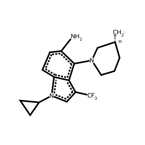 [CH2][C@@H]1CCCN(c2c(N)ccc3c2c(C(F)(F)F)cn3C2CC2)C1